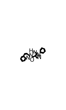 CN(C)c1c(C(=O)Nc2ccc3ccccc3n2)cnn1-c1ccccc1